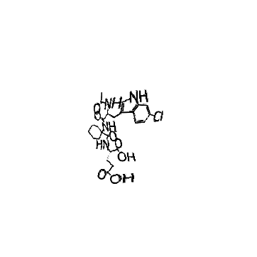 CC(=O)N[C@@H](Cc1c[nH]c2cc(Cl)ccc12)C(=O)NC1(C(=O)N[C@@H](CCC(=O)O)C(=O)O)CCCCC1